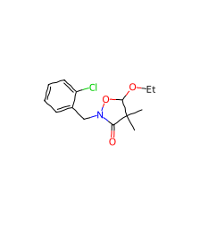 CCOC1ON(Cc2ccccc2Cl)C(=O)C1(C)C